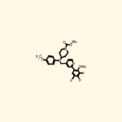 COc1c(-c2cc(CN(c3ccc(OC(F)(F)F)cc3)C3CCN(C(=O)OC(C)(C)C)CC3)ccn2)cc(F)c(F)c1F